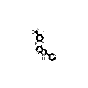 NC(=O)c1ccc(Oc2ccnc3[nH]c(-c4cccnc4)cc23)c(F)c1